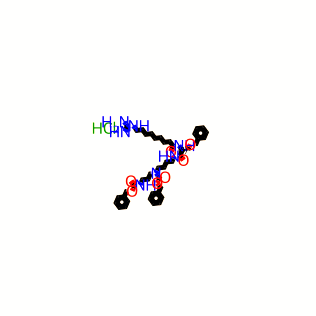 Cl.N=C(N)NCCCCCCCCC(=O)N[C@@H](COCc1ccccc1)C(=O)NCCCCN(CCCNC(=O)OCc1ccccc1)C(=O)OCc1ccccc1